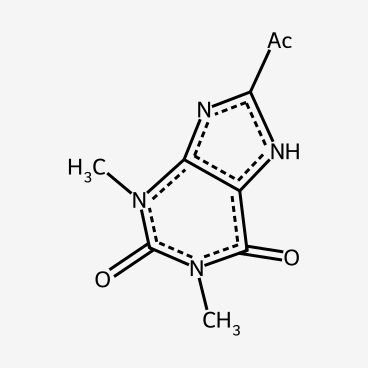 CC(=O)c1nc2c([nH]1)c(=O)n(C)c(=O)n2C